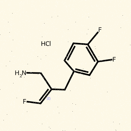 Cl.NC/C(=C\F)Cc1ccc(F)c(F)c1